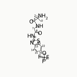 CC(C)(N)C(=O)NCC(=O)Nc1nc2ccc(OC(F)(F)F)cc2s1